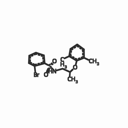 Cc1cccc(C)c1OC(C)CNS(=O)(=O)c1ccccc1Br